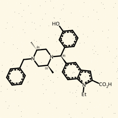 CCn1c(C(=O)O)cc2cc([C@H](c3cccc(O)c3)N3C[C@@H](C)N(Cc4ccccc4)C[C@@H]3C)ccc21